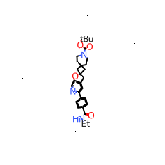 CCNC(=O)c1ccc(-c2cc3c(cn2)OC2(C3)CC3(CCN(C(=O)OC(C)(C)C)CC3)C2)cc1